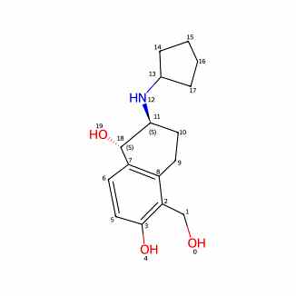 OCc1c(O)ccc2c1CC[C@H](NC1CCCC1)[C@H]2O